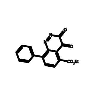 CCOC(=O)c1ccc(-c2ccccc2)c2c1C(=O)C(=O)N=N2